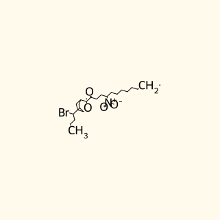 [CH2]CCCCCCC(CCC(=O)[C]1OC2CCC1CC2C(Br)CCC)[N+](=O)[O-]